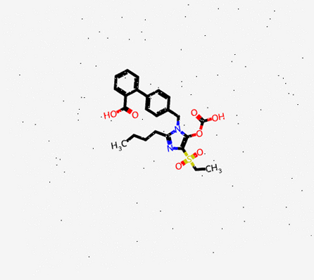 CCCCc1nc(S(=O)(=O)CC)c(OC(=O)O)n1Cc1ccc(-c2ccccc2C(=O)O)cc1